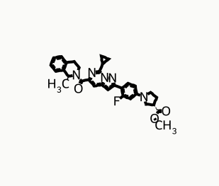 COC(=O)[C@H]1CCN(c2ccc(-c3cc4cc(C(=O)N5CCc6ccccc6[C@H]5C)nc(C5CC5)n4n3)c(F)c2)C1